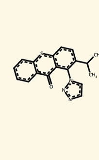 CC(C)c1ccc2sc3ccccc3c(=O)c2c1-n1c[c]nn1